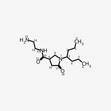 CCCC(CCC)N1CC(C(=O)NCCN)CC1=O